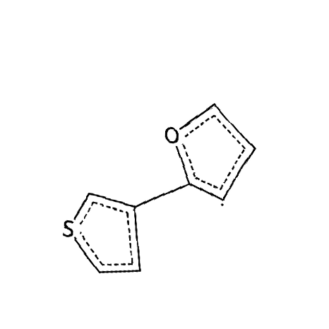 [c]1ccoc1-c1ccsc1